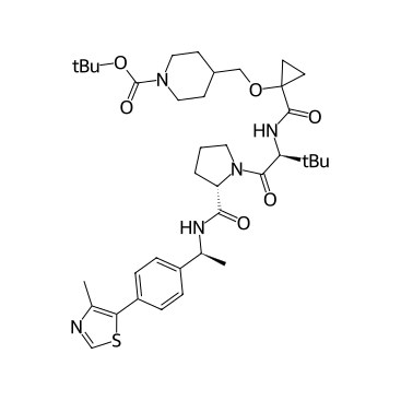 Cc1ncsc1-c1ccc([C@H](C)NC(=O)[C@@H]2CCCN2C(=O)[C@@H](NC(=O)C2(OCC3CCN(C(=O)OC(C)(C)C)CC3)CC2)C(C)(C)C)cc1